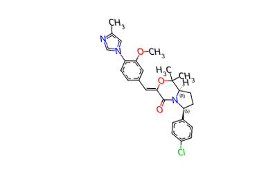 COc1cc(C=C2OC(C)(C)[C@H]3CC[C@@H](c4ccc(Cl)cc4)N3C2=O)ccc1-n1cnc(C)c1